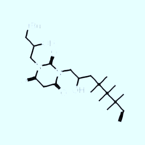 C=CC(C)(C)C(C)(C)C(C)(C)CC(O)CN1C(=O)CC(=O)N(CC(O)CC(C)(C)C)C1=O